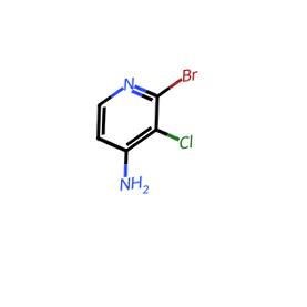 Nc1ccnc(Br)c1Cl